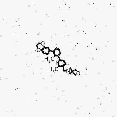 Cc1nc(-c2cccc(-c3ccc4c(c3)OCCO4)c2C)ccc1CN1CC2(COC2)C1